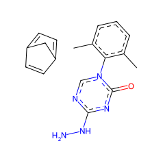 C1=CC2=CC=C1C2.Cc1cccc(C)c1-n1cnc(NN)nc1=O